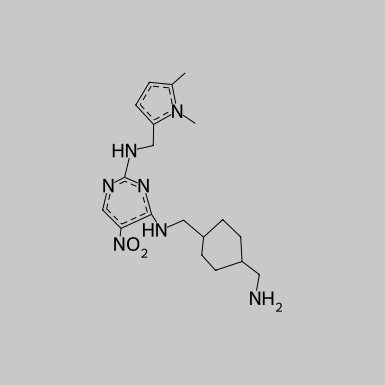 Cc1ccc(CNc2ncc([N+](=O)[O-])c(NCC3CCC(CN)CC3)n2)n1C